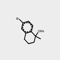 COC1(C)CCCc2cc(Br)ccc21